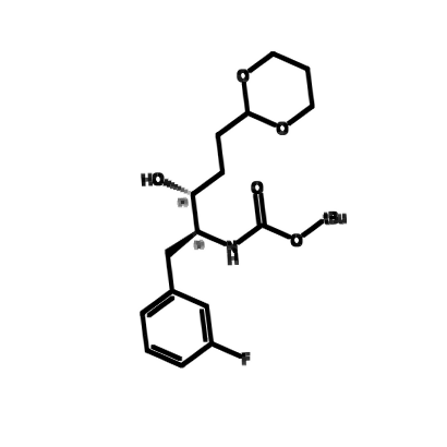 CC(C)(C)OC(=O)N[C@@H](Cc1cccc(F)c1)[C@H](O)CCC1OCCCO1